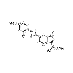 COC(=O)c1cn(C)c2cc(N3CC(c4ccc(OC)cc4Cl)C3)ccc12